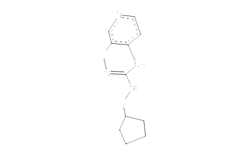 c1cc2c(cn1)SN=C(NOC1CCCC1)N2